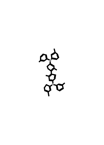 CC1=CCCC(N(c2cccc(C)c2)c2ccc(C3=C(C)C=C(N(c4cccc(C)c4)c4cccc(C)c4)CC3)c(C)c2)=C1